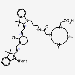 CCCC(C)[N+]1=C(/C=C/C2=C(Cl)C(=C/C=C3/N(CCCNC(=O)CN4CCN(C)CCN(C)CCN(CC(=O)O)CC4)c4ccccc4C3(C)C)/CCC2)C(C)(C)c2ccccc21